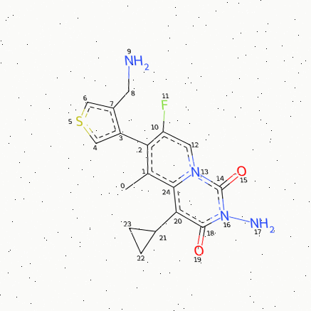 Cc1c(-c2cscc2CN)c(F)cn2c(=O)n(N)c(=O)c(C3CC3)c12